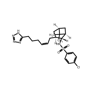 CC1(C)[C@H]2C[C@H](C/C=C\CCCc3nnn[nH]3)[C@@H](NS(=O)(=O)c3ccc(Cl)cc3)[C@@H]1C2